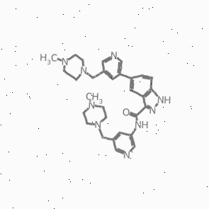 CN1CCN(Cc2cncc(NC(=O)c3n[nH]c4ccc(-c5cncc(CN6CCN(C)CC6)c5)cc34)c2)CC1